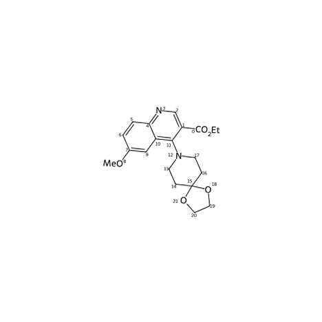 CCOC(=O)c1cnc2ccc(OC)cc2c1N1CCC2(CC1)OCCO2